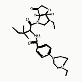 CC[C@H]1CN(C(=O)C(NC(=O)c2ccc(N3CCN(CC)CC3)cc2)C(C)(C)CC)[C@@H]2C(=O)CO[C@H]12